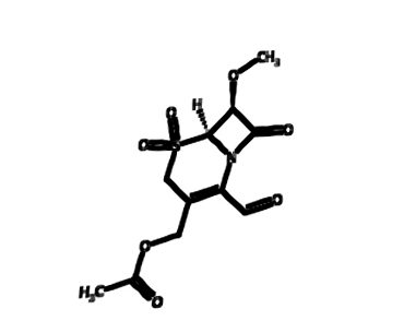 CO[C@H]1C(=O)N2C(C=O)=C(COC(C)=O)CS(=O)(=O)[C@@H]12